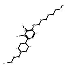 COCCCCCCOc1ccc(C2CCC(CCCF)CC2)c(F)c1F